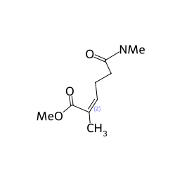 CNC(=O)CC/C=C(/C)C(=O)OC